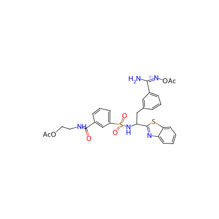 CC(=O)OCCNC(=O)c1cccc(S(=O)(=O)NC(Cc2cccc(/C(N)=N\OC(C)=O)c2)c2nc3ccccc3s2)c1